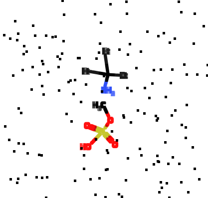 CCC(N)(CC)CC.COS(=O)(=O)O